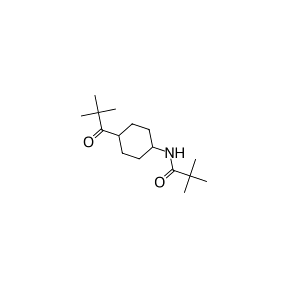 CC(C)(C)C(=O)NC1CCC(C(=O)C(C)(C)C)CC1